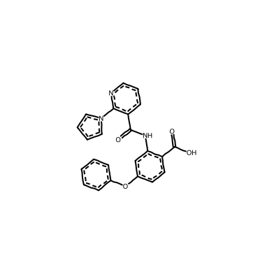 O=C(O)c1ccc(Oc2ccccc2)cc1NC(=O)c1cccnc1-n1cccc1